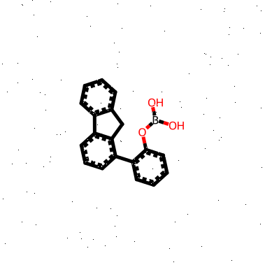 OB(O)Oc1ccccc1-c1cccc2c1Cc1ccccc1-2